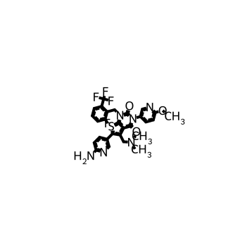 COc1ccc(-n2c(=O)c3c(CN(C)C)c(-c4ccc(N)nc4)sc3n(Cc3c(F)cccc3C(F)(F)F)c2=O)cn1